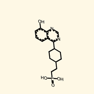 O=P(O)(O)CCC1CCC(c2ncnc3c(O)cccc23)CC1